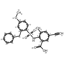 C#Cc1cc(C)c(NS(=O)(=O)c2ccc(OC)cc2Cc2ccccc2)c(C(=O)O)c1